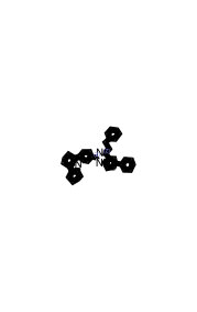 N/C(=N\C(=C/Cc1ccccc1)c1cccc(-c2ccccc2)c1)c1ccc2c3cccc4c5ccccc5n(c2c1)c43